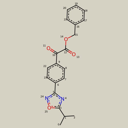 CC(C)c1nc(-c2ccc(C(=O)C(=O)OCc3ccccc3)cc2)no1